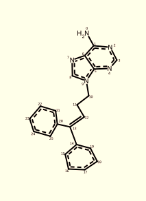 Nc1ncnc2c1ncn2CCC=C(c1ccccc1)c1ccccc1